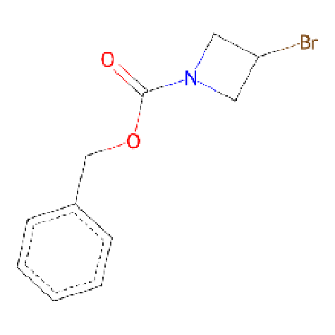 O=C(OCc1ccccc1)N1CC(Br)C1